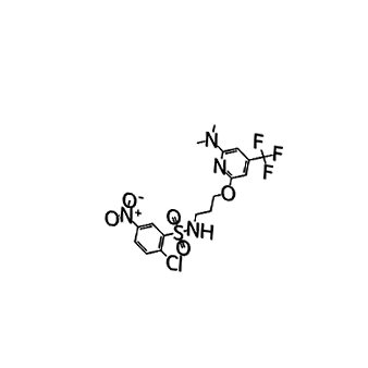 CN(C)c1cc(C(F)(F)F)cc(OCCCNS(=O)(=O)c2cc([N+](=O)[O-])ccc2Cl)n1